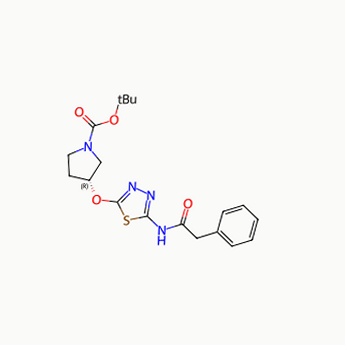 CC(C)(C)OC(=O)N1CC[C@@H](Oc2nnc(NC(=O)Cc3ccccc3)s2)C1